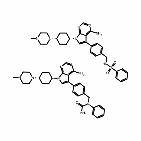 CN1CCN([C@H]2CC[C@@H](n3cc(-c4ccc(CNS(=O)(=O)c5ccccc5)cc4)c4c(N)ncnc43)CC2)CC1.CN1CCN([C@H]2CC[C@H](n3cc(-c4ccc(CN(C(N)=O)c5ccccc5)cc4)c4c(N)ncnc43)CC2)CC1